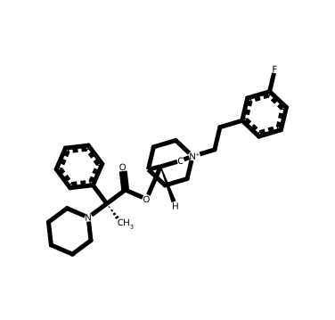 C[C@@](C(=O)O[C@H]1C[N+]2(CCc3cccc(F)c3)CCC1CC2)(c1ccccc1)N1CCCCC1